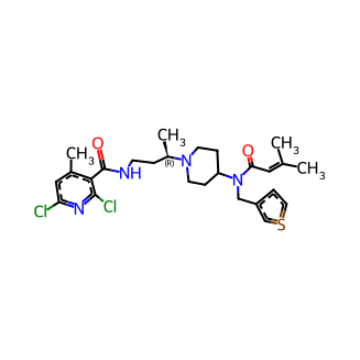 CC(C)=CC(=O)N(Cc1ccsc1)C1CCN([C@H](C)CCNC(=O)c2c(C)cc(Cl)nc2Cl)CC1